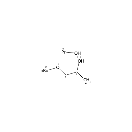 CC(C)O.CCCCOCC(C)O